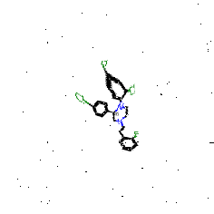 Fc1ccccc1CCN1CCN(c2ccc(Cl)cc2Cl)[C@H](c2ccc(Cl)cc2)C1